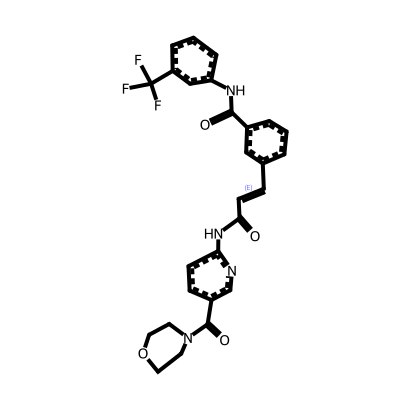 O=C(/C=C/c1cccc(C(=O)Nc2cccc(C(F)(F)F)c2)c1)Nc1ccc(C(=O)N2CCOCC2)cn1